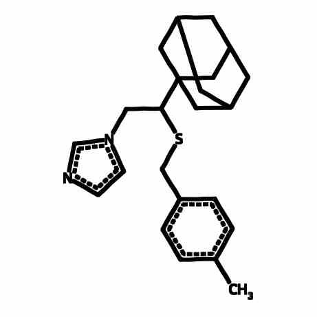 Cc1ccc(CSC(Cn2ccnc2)C23CC4CC(CC(C4)C2)C3)cc1